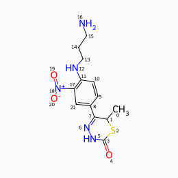 CC1SC(=O)NN=C1c1ccc(NCCCN)c([N+](=O)[O-])c1